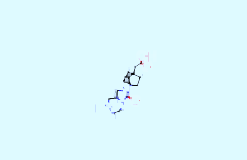 O=C(O)CC12CCC(N3CC4CNCCN4C3=O)(CC1)C2